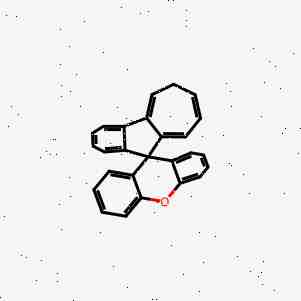 C1=CCC=C2C(=C1)C1(c3ccccc3Oc3ccccc31)c1ccccc12